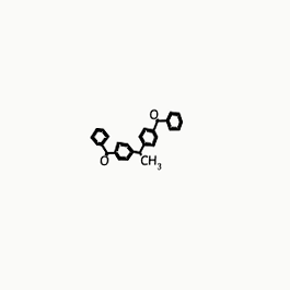 CC(c1ccc(C(=O)c2ccccc2)cc1)c1ccc(C(=O)c2ccccc2)cc1